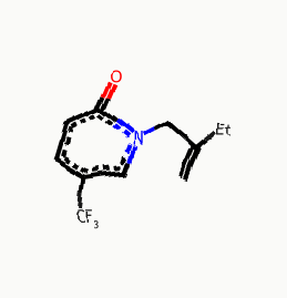 C=C(CC)Cn1cc(C(F)(F)F)ccc1=O